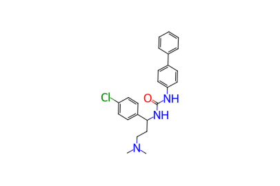 CN(C)CCC(NC(=O)Nc1ccc(-c2ccccc2)cc1)c1ccc(Cl)cc1